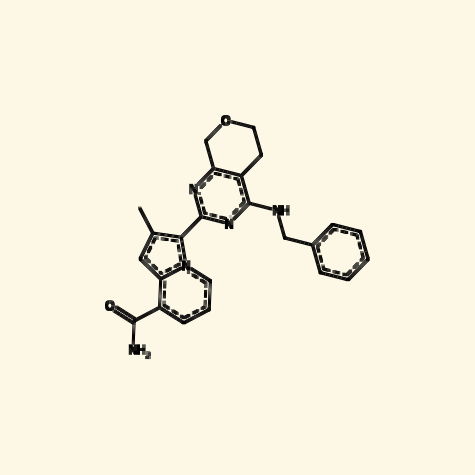 Cc1cc2c(C(N)=O)cccn2c1-c1nc2c(c(NCc3ccccc3)n1)CCOC2